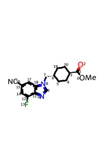 COC(=O)[C@H]1CC[C@H](Cn2cnc3c(F)cc(C#N)cc32)CC1